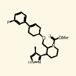 COC(=O)N1CCCC(c2n[nH]cc2C)C1COC1CC=C(c2cccc(F)c2)CC1